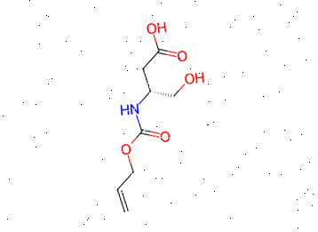 C=CCOC(=O)N[C@@H](CO)CC(=O)O